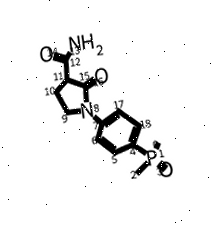 CP(C)(=O)c1ccc(N2CCC(C(N)=O)C2=O)cc1